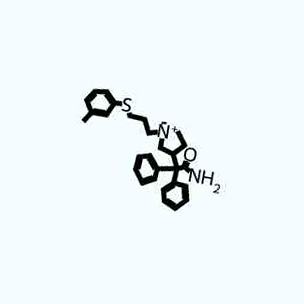 Cc1cccc(SCCC[N+]2(C)CCC(C(C(N)=O)(c3ccccc3)c3ccccc3)C2)c1